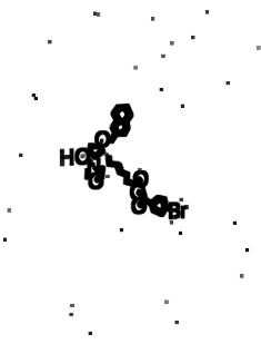 O=C(CCC=CCC[C@@H]1[C@@H](N2CCOCC2)[C@H](O)C[C@@H]1OCc1ccc2ccccc2c1)OCC(=O)c1ccc(Br)cc1